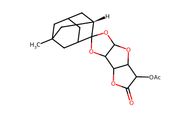 CC(=O)OC1C(=O)OC2C3OC4(OC3OC12)C1CC2C[C@H]4CC(C)(C2)C1